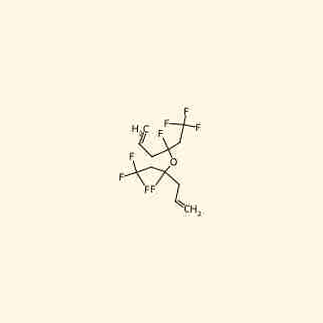 C=CCC(F)(CC(F)(F)F)OC(F)(CC=C)CC(F)(F)F